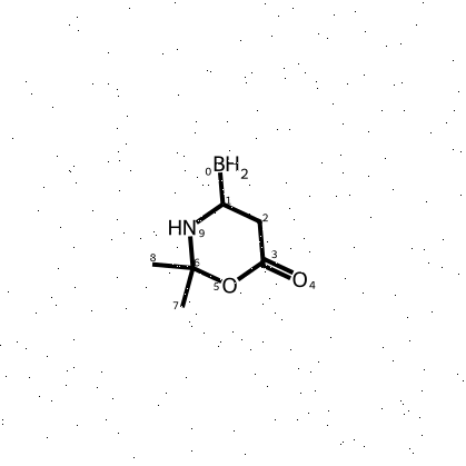 BC1CC(=O)OC(C)(C)N1